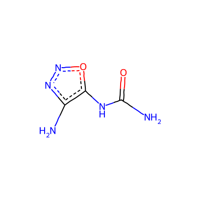 NC(=O)Nc1onnc1N